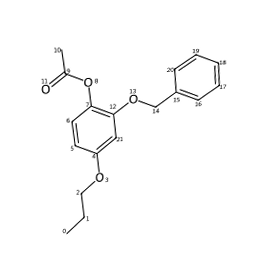 CCCOc1ccc(OC(C)=O)c(OCc2ccccc2)c1